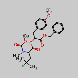 CN(C(=O)OC(C)(C)C)C(CC(C)(C)F)C(=O)OC(Cc1ccc(OC(F)(F)F)cc1)C(=O)OCc1ccccc1